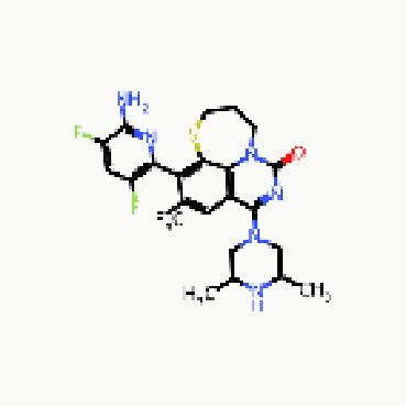 CC1CN(c2nc(=O)n3c4c(c(-c5nc(N)c(F)cc5F)c(C(F)(F)F)cc24)SCCC3)CC(C)N1